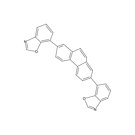 c1cc(-c2ccc3c(ccc4cc(-c5cccc6ncoc56)ccc43)c2)c2ocnc2c1